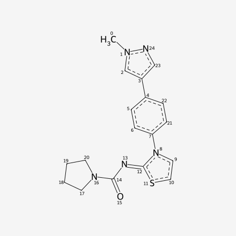 Cn1cc(-c2ccc(-n3ccsc3=NC(=O)N3CCCC3)cc2)cn1